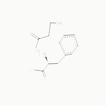 NCCC(=O)O.N[C@@H](Cc1ccccc1)C(=O)O